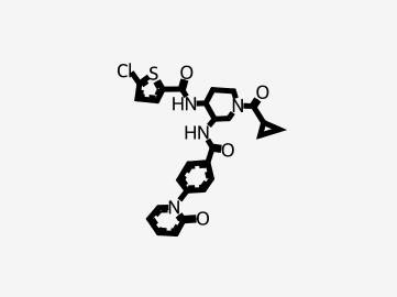 O=C(NC1CN(C(=O)C2CC2)CCC1NC(=O)c1ccc(Cl)s1)c1ccc(-n2ccccc2=O)cc1